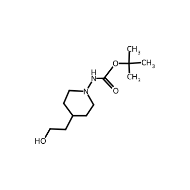 CC(C)(C)OC(=O)NN1CCC(CCO)CC1